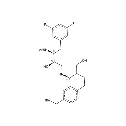 CC(=O)N[C@@H](Cc1cc(F)cc(F)c1)[C@H](O)CN[C@@H]1c2cc(CC(C)(C)C)ccc2CCC1CO